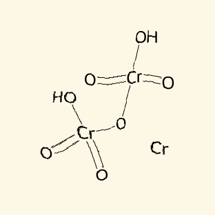 [Cr].[O]=[Cr](=[O])([OH])[O][Cr](=[O])(=[O])[OH]